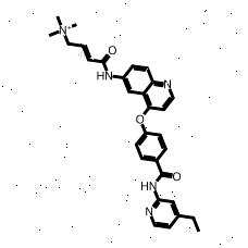 CCc1ccnc(NC(=O)c2ccc(Oc3ccnc4ccc(NC(=O)/C=C/C[N+](C)(C)C)cc34)cc2)c1